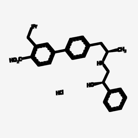 CC(C)Cc1cc(-c2ccc(C[C@@H](C)NC[C@H](O)c3ccccc3)cc2)ccc1C(=O)O.Cl